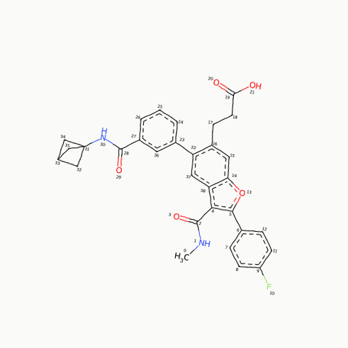 CNC(=O)c1c(-c2ccc(F)cc2)oc2cc(CCC(=O)O)c(-c3cccc(C(=O)NC45CC(C4)C5)c3)cc12